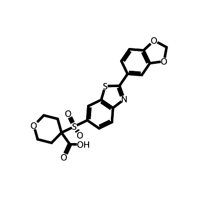 O=C(O)C1(S(=O)(=O)c2ccc3nc(-c4ccc5c(c4)OCO5)sc3c2)CCOCC1